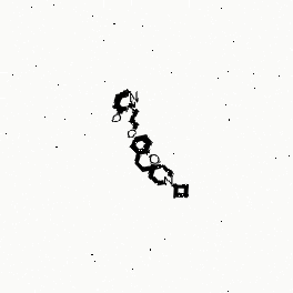 O=c1cccnn1CCCOc1ccc2c(c1)CCC1(CCN(C3CCC3)CC1)O2